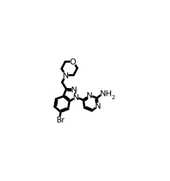 Nc1nccc(-n2nc(CN3CCOCC3)c3ccc(Br)cc32)n1